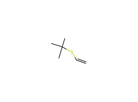 C=CSC(C)(C)C